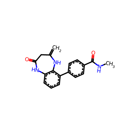 C=C1CC(=O)Nc2cccc(-c3ccc(C(=O)NC)cc3)c2N1